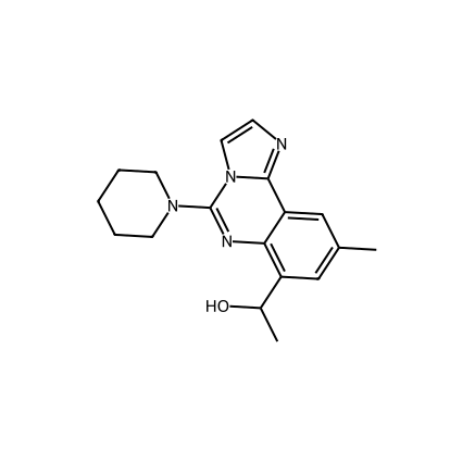 Cc1cc(C(C)O)c2nc(N3CCCCC3)n3ccnc3c2c1